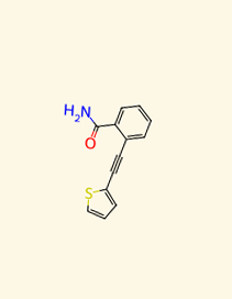 NC(=O)c1ccccc1C#Cc1cccs1